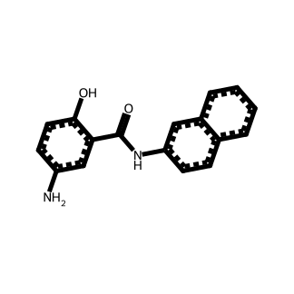 Nc1ccc(O)c(C(=O)Nc2ccc3ccccc3c2)c1